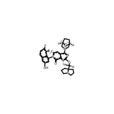 [2H]C([2H])(Oc1nc(N2C[C@H]3CC[C@@H](C2)N3)c2cc(C(F)(F)F)n(-c3cc(O)cc4ccc(F)c(F)c34)c(=O)c2n1)C12CCCN1CCC2